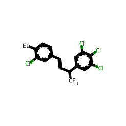 CCc1ccc(/C=C/C(c2cc(Cl)c(Cl)c(Cl)c2)C(F)(F)F)cc1Cl